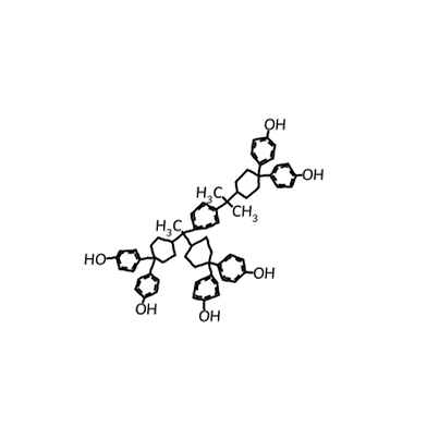 CC(C)(c1ccc(C(C)(C2CCC(c3ccc(O)cc3)(c3ccc(O)cc3)CC2)C2CCC(c3ccc(O)cc3)(c3ccc(O)cc3)CC2)cc1)C1CCC(c2ccc(O)cc2)(c2ccc(O)cc2)CC1